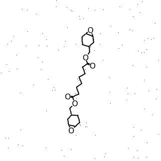 O=C(CCCCCCC(=O)OCC1CCC2OC2C1)OCC1CCC2OC2C1